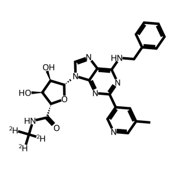 [2H]C([2H])([2H])NC(=O)[C@H]1O[C@@H](n2cnc3c(NCc4ccccc4)nc(-c4cncc(C)c4)nc32)[C@H](O)[C@@H]1O